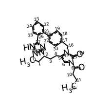 CCCCCc1cn(C(=O)CCC)c(=O)n1Cc1ccc(-c2ccccc2-c2nnn[nH]2)cc1